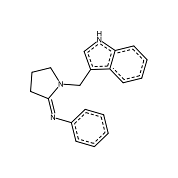 c1ccc(/N=C2/CCCN2Cc2c[nH]c3ccccc23)cc1